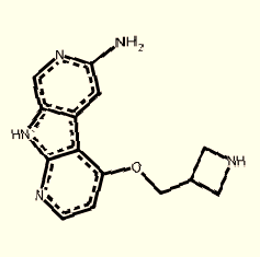 Nc1cc2c(cn1)[nH]c1nccc(OCC3CNC3)c12